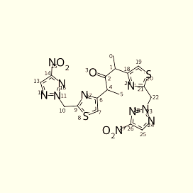 CC(C(=O)C(C)c1csc(Cn2ncc([N+](=O)[O-])n2)n1)c1csc(Cn2ncc([N+](=O)[O-])n2)n1